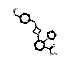 CCCOc1ccc(OC2CN(c3cccc(C(=O)OC)c3-n3cccc3)C2)cc1